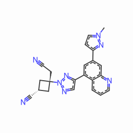 Cn1ccc(-c2cc(-c3cnn([C@]4(CC#N)C[C@H](C#N)C4)n3)c3cccnc3c2)n1